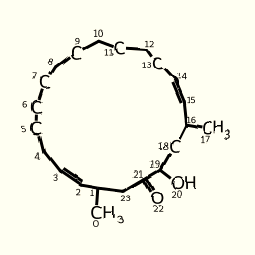 CC1C=CCCCCCCCCCCC=CC(C)CC(O)C(=O)C1